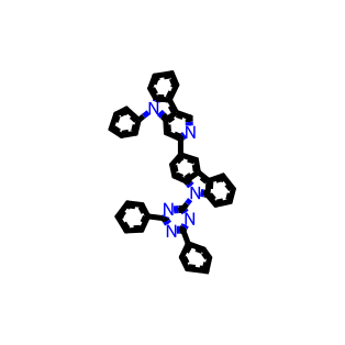 c1ccc(-c2nc(-c3ccccc3)nc(-n3c4ccccc4c4cc(-c5cc6c(cn5)c5ccccc5n6-c5ccccc5)ccc43)n2)cc1